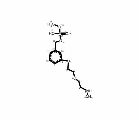 CNCCOCCOc1cccc(COP(=O)(O)OC)c1